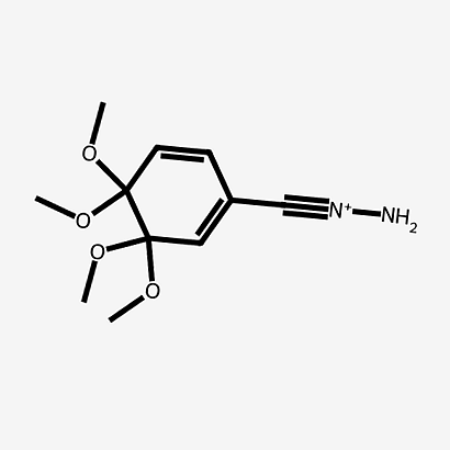 COC1(OC)C=CC(C#[N+]N)=CC1(OC)OC